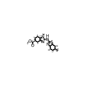 COC(=O)c1ccc2c(c1)nc(Nc1nc3ccc(F)cc3s1)n2C